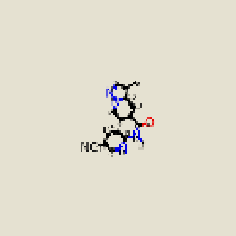 Cc1cnn2ccc(C(=O)N(C)c3ccc(C#N)cn3)cc12